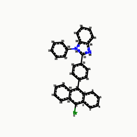 Brc1c2ccccc2c(-c2ccc(-c3nc4ccccc4n3-c3ccccc3)cc2)c2ccccc12